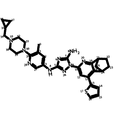 Cc1cc(Nc2nc(N)n(-c3cc(-c4cccs4)c4c(n3)C3CCC4C3)n2)cnc1N1CCN(CC2CC2)CC1